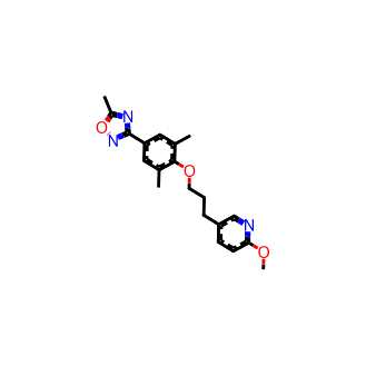 COc1ccc(CCCOc2c(C)cc(-c3noc(C)n3)cc2C)cn1